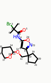 CC(C)(Br)C(=O)Nc1cc(C2(COC3CCCCO3)CCCC2)no1